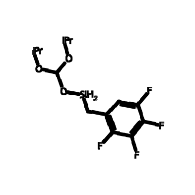 CC(C)OC(O[SiH2]Cc1cc(F)c(F)c(F)c1F)OC(C)C